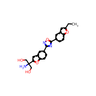 CCc1cc2cc(-c3nc(-c4ccc5oc(C(N)(CO)CO)cc5c4)no3)ccc2o1